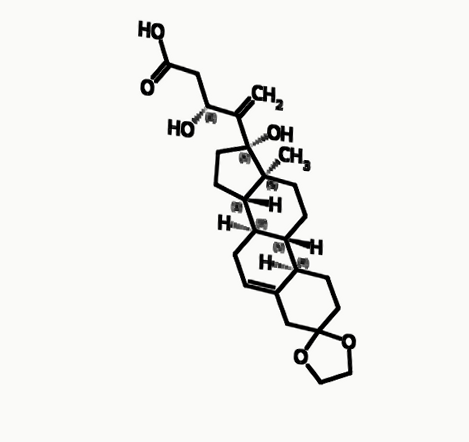 C=C([C@H](O)CC(=O)O)[C@]1(O)CC[C@H]2[C@@H]3CC=C4CC5(CC[C@@H]4[C@H]3CC[C@@]21C)OCCO5